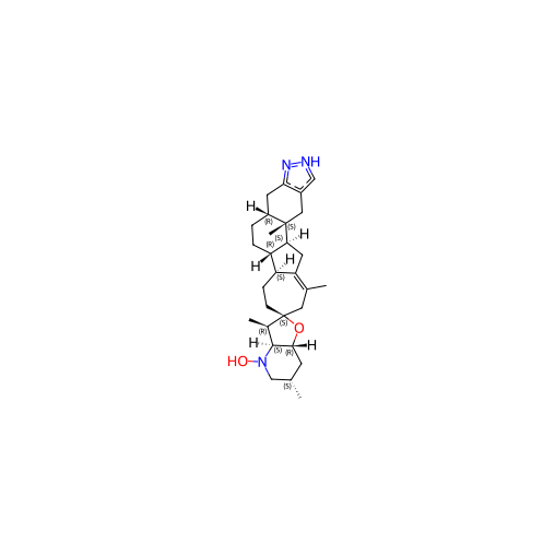 CC1=C2C[C@H]3[C@@H](CC[C@@H]4Cc5n[nH]cc5C[C@@]43C)[C@@H]2CC[C@@]2(C1)O[C@@H]1C[C@H](C)CN(O)[C@H]1[C@H]2C